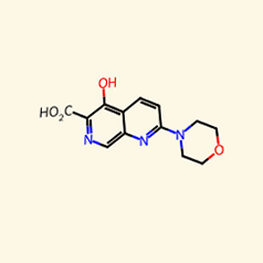 O=C(O)c1ncc2nc(N3CCOCC3)ccc2c1O